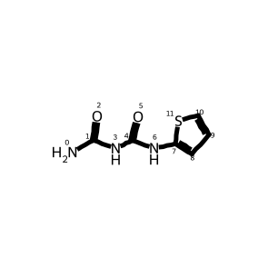 NC(=O)NC(=O)Nc1cccs1